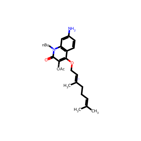 CCCCn1c(=O)c(OC(C)=O)c(OC/C=C(\C)CCC=C(C)C)c2ccc(N)cc21